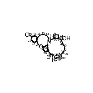 C[C@H]1C/C=C/C(O)[C@@H]2CC[C@H]2CN2CCCCc3cc(Cl)ccc3COc3ccc(cc32)C(=O)NS(=O)(=O)N1C